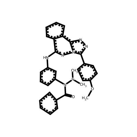 COc1ccc(-c2nnc3c4ccccc4c(Nc4cccc(N(C(=O)c5ccccc5)N(C)C)c4)nn23)cc1